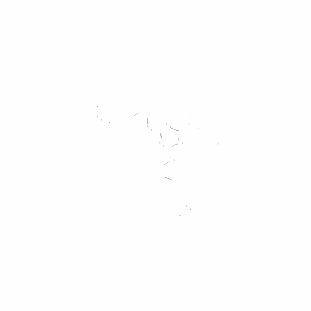 CC(OC(=O)/C=N/c1nc(/N=C/C(=O)OC(C)C2CC(C)(C)NC(C)(C)C2)nc(NC(C)(C)CC(C)(C)C)n1)C1CC(C)(C)NC(C)(C)C1